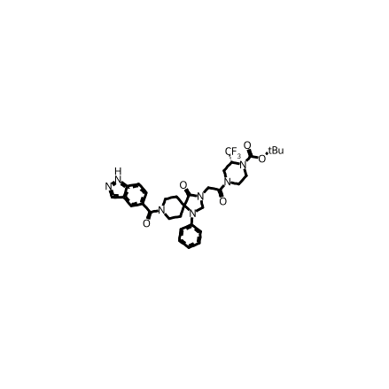 CC(C)(C)OC(=O)N1CCN(C(=O)CN2CN(c3ccccc3)C3(CCN(C(=O)c4ccc5[nH]ncc5c4)CC3)C2=O)C[C@@H]1C(F)(F)F